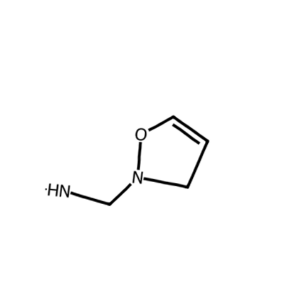 [NH]CN1CC=CO1